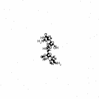 Nc1nc2c(ncn2[C@@H]2O[C@H](CO)[C@@H](OP(=O)(O)/C=C/[C@H]3O[C@@H](n4cnc5c(N)ncnc54)C[C@@H]3O[PH](=O)O)[C@H]2F)c(=O)[nH]1